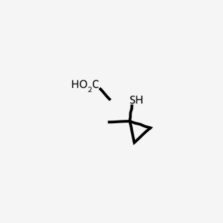 CC(=O)O.CC1(S)CC1